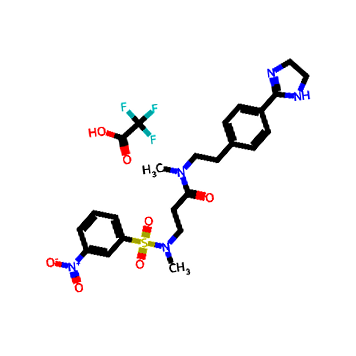 CN(CCc1ccc(C2=NCCN2)cc1)C(=O)CCN(C)S(=O)(=O)c1cccc([N+](=O)[O-])c1.O=C(O)C(F)(F)F